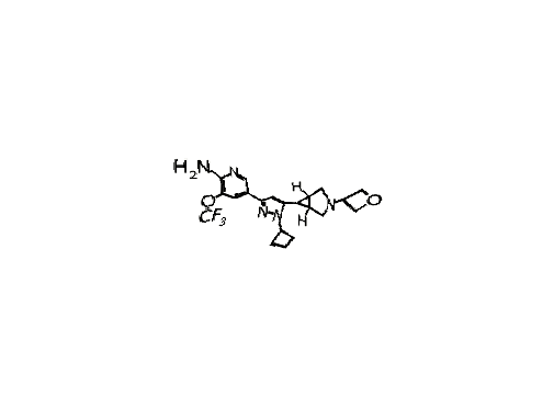 Nc1ncc(-c2cc([C@H]3[C@@H]4CN(C5COC5)C[C@@H]43)n(C3CCC3)n2)cc1OC(F)(F)F